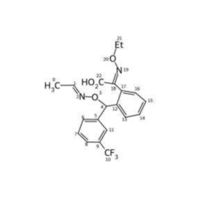 CC=NOC(c1cccc(C(F)(F)F)c1)c1ccccc1C(=NOCC)C(=O)O